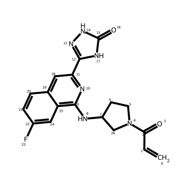 C=CC(=O)N1CCC(Nc2nc(-c3n[nH]c(=O)[nH]3)cc3ccc(F)cc23)C1